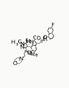 CCOC(=O)c1[nH]c2c(-c3c([C@@H](CCN4CCOCC4)NC)nn(C)c3CC)c(Cl)ccc2c1CCCOc1cccc2cc(F)ccc12